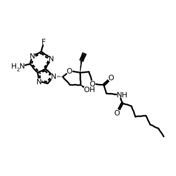 C#C[C@]1(COC(=O)CNC(=O)CCCCCC)O[C@@H](n2cnc3c(N)nc(F)nc32)C[C@@H]1O